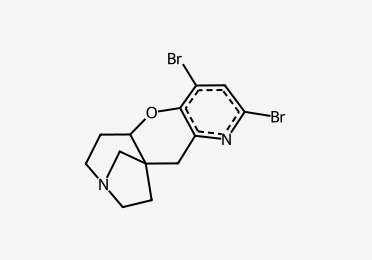 Brc1cc(Br)c2c(n1)CC13CCN(CCC1O2)C3